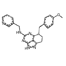 COc1ccc(CN2CCc3n[nH]c4nc(NCc5cccnc5)nc2c34)cc1